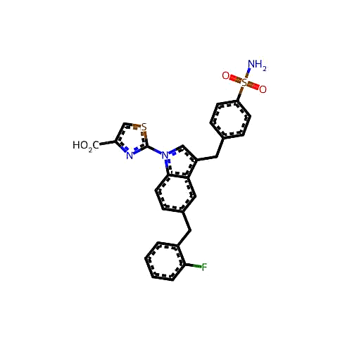 NS(=O)(=O)c1ccc(Cc2cn(-c3nc(C(=O)O)cs3)c3ccc(Cc4ccccc4F)cc23)cc1